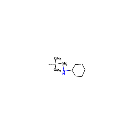 COC(C)(OC)[SiH2]NC1CCCCC1